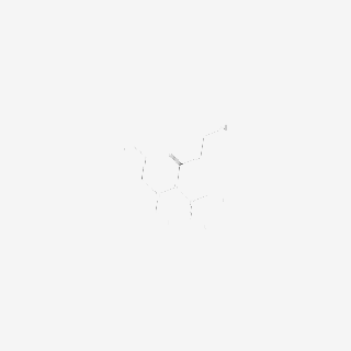 CCCN(C)N(C(=O)CCN)C(C)C